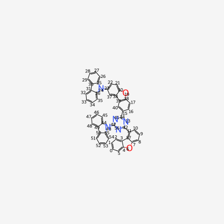 c1ccc2c(c1)oc1cccc(-c3nc(-c4ccc5oc6ccc(-n7c8ccccc8c8ccccc87)cc6c5c4)nc(-n4c5ccccc5c5ccccc54)n3)c12